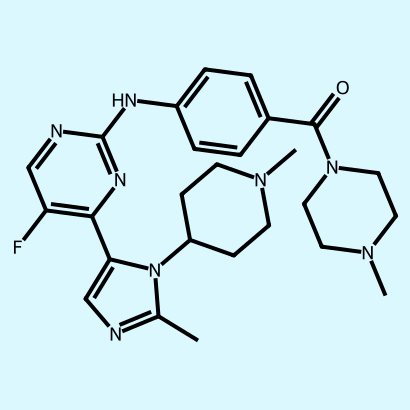 Cc1ncc(-c2nc(Nc3ccc(C(=O)N4CCN(C)CC4)cc3)ncc2F)n1C1CCN(C)CC1